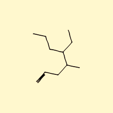 C=CCC(C)C(CC)CCC